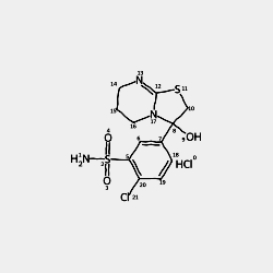 Cl.NS(=O)(=O)c1cc(C2(O)CSC3=NCCCN32)ccc1Cl